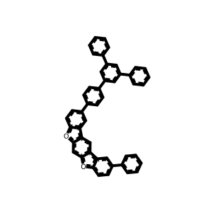 c1ccc(-c2cc(-c3ccccc3)cc(-c3ccc(-c4ccc5oc6cc7oc8ccc(-c9ccccc9)cc8c7cc6c5c4)cc3)c2)cc1